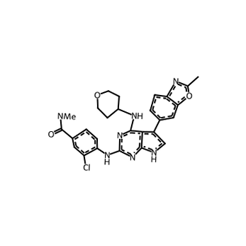 CNC(=O)c1ccc(Nc2nc(NC3CCOCC3)c3c(-c4ccc5nc(C)oc5c4)c[nH]c3n2)c(Cl)c1